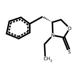 CCN1C(=S)OC[C@H]1Cc1ccccc1